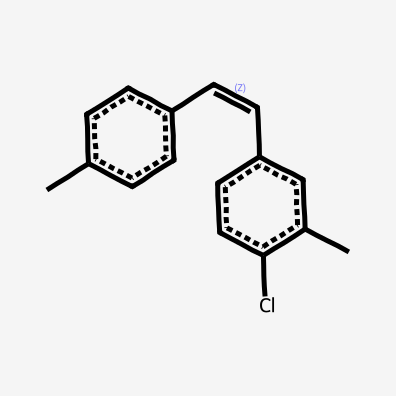 Cc1ccc(/C=C\c2ccc(Cl)c(C)c2)cc1